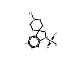 CCN1CCC2(CC1)CN(S(C)(=O)=O)c1ccccc12